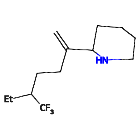 C=C(CCC(CC)C(F)(F)F)C1CCCCN1